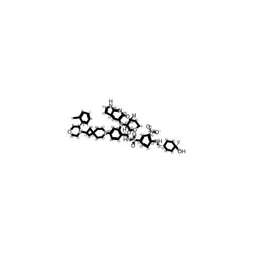 Cc1ccccc1[C@@H]1COCCN1C1CC2(CCN(c3ccc(C(=O)NS(=O)(=O)c4ccc(NC[C@H]5CC[C@](C)(O)CC5)c([N+](=O)[O-])c4)c(N4c5cc6cc[nH]c6nc5O[C@@H]5CCOC[C@H]54)c3)CC2)C1